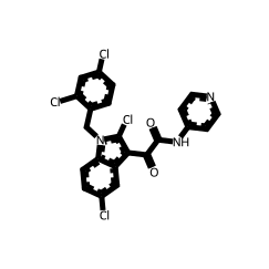 O=C(Nc1ccncc1)C(=O)c1c(Cl)n(Cc2ccc(Cl)cc2Cl)c2ccc(Cl)cc12